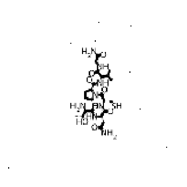 CC(C)[C@H](NC(=O)[C@@H]1CCCN1C(=O)[C@H](CS)NC(=O)[C@H](CC(N)=O)NC(=O)[C@@H](N)[C@@H](C)O)C(=O)NCC(N)=O